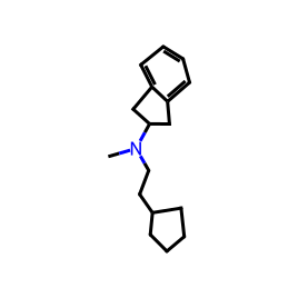 CN(CCC1CCCC1)C1Cc2ccccc2C1